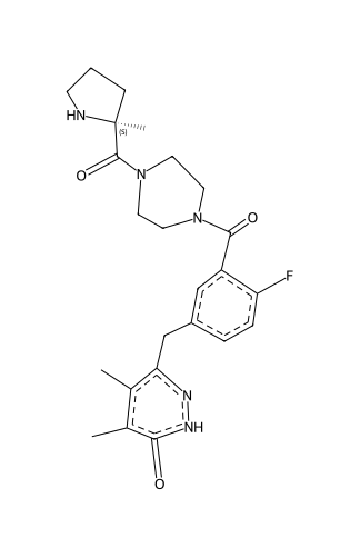 Cc1c(Cc2ccc(F)c(C(=O)N3CCN(C(=O)[C@]4(C)CCCN4)CC3)c2)n[nH]c(=O)c1C